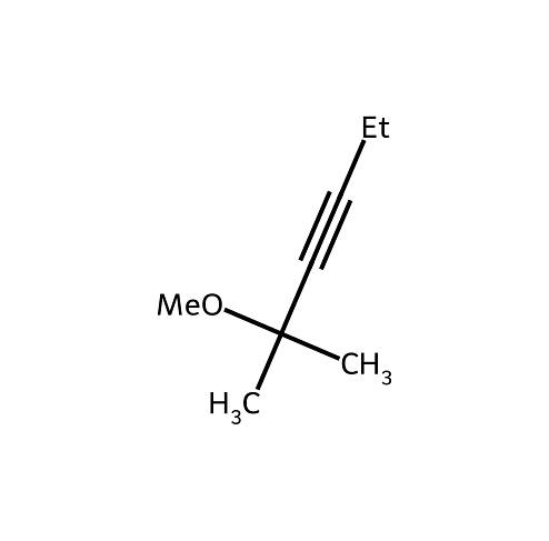 CCC#CC(C)(C)OC